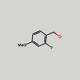 COc1ccc(C[O])c(F)c1